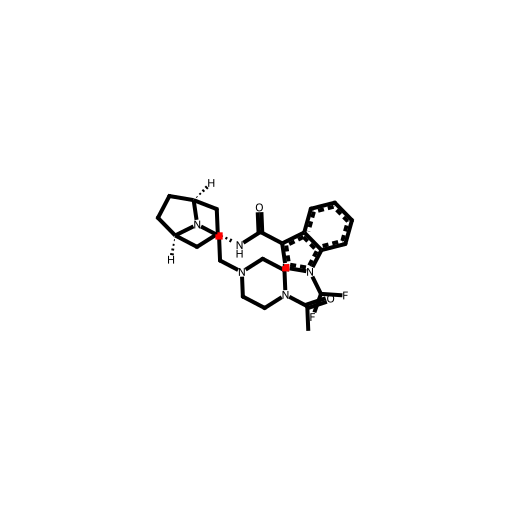 CC(=O)N1CCN(CCN2[C@@H]3CC[C@H]2C[C@H](NC(=O)c2nn(C(F)F)c4ccccc24)C3)CC1